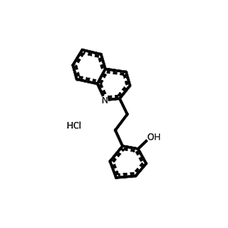 Cl.Oc1ccccc1CCc1ccc2ccccc2n1